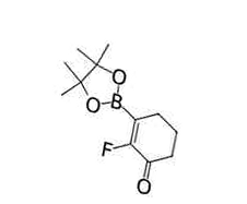 CC1(C)OB(C2=C(F)C(=O)CCC2)OC1(C)C